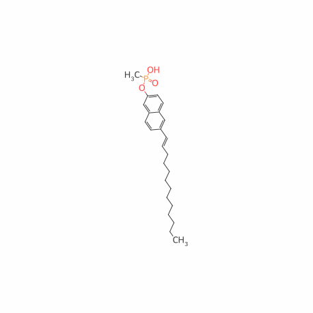 CCCCCCCCCCCC=Cc1ccc2cc(OP(C)(=O)O)ccc2c1